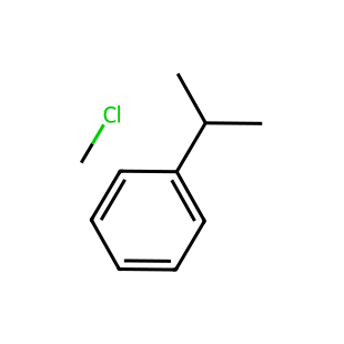 CC(C)c1ccccc1.CCl